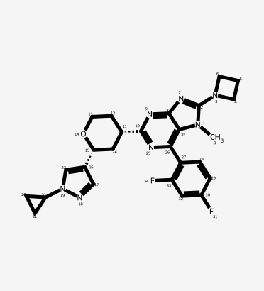 Cn1c(N2CCC2)nc2nc([C@H]3CCO[C@@H](c4cnn(C5CC5)c4)C3)nc(-c3ccc(F)cc3F)c21